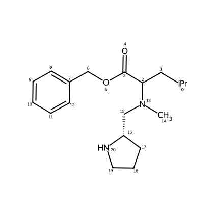 CC(C)CC(C(=O)OCc1ccccc1)N(C)C[C@@H]1CCCN1